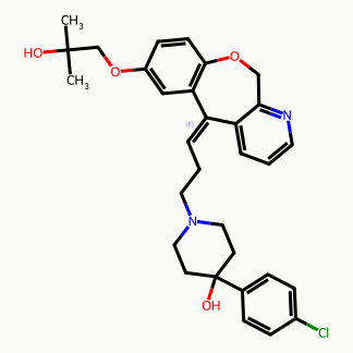 CC(C)(O)COc1ccc2c(c1)/C(=C/CCN1CCC(O)(c3ccc(Cl)cc3)CC1)c1cccnc1CO2